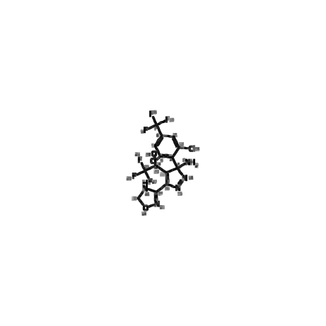 NC1(c2c(Cl)cc(C(F)(F)F)cc2Cl)N=NC(C2=NOCN2)=C1[S+]([O-])C(F)(F)F